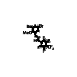 COc1c(Br)cc(Br)cc1/C=N/Nc1c(C)c(F)c(C(F)(F)F)c(F)c1F